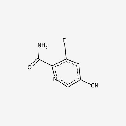 N#Cc1cnc(C(N)=O)c(F)c1